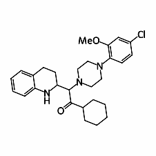 COc1cc(Cl)ccc1N1CCN(C(C(=O)C2CCCCC2)C2CCc3ccccc3N2)CC1